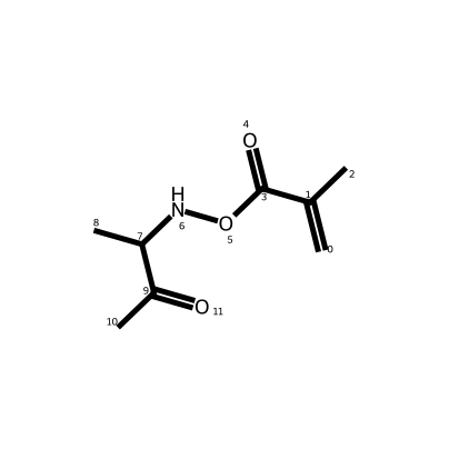 C=C(C)C(=O)ONC(C)C(C)=O